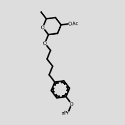 CCCOc1ccc(CCCCOC2CC(OC(C)=O)CC(C)O2)cc1